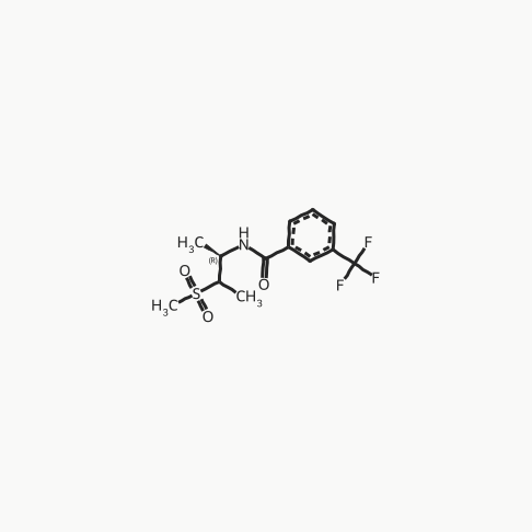 CC([C@@H](C)NC(=O)c1cccc(C(F)(F)F)c1)S(C)(=O)=O